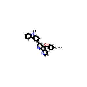 CCn1c2ccccc2c2cc(-c3cnc4c(c3)C(O)(c3ccc(OC)cc3)c3cccnc3-4)ccc21